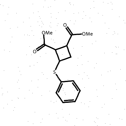 COC(=O)C1CC(Sc2ccccc2)C1C(=O)OC